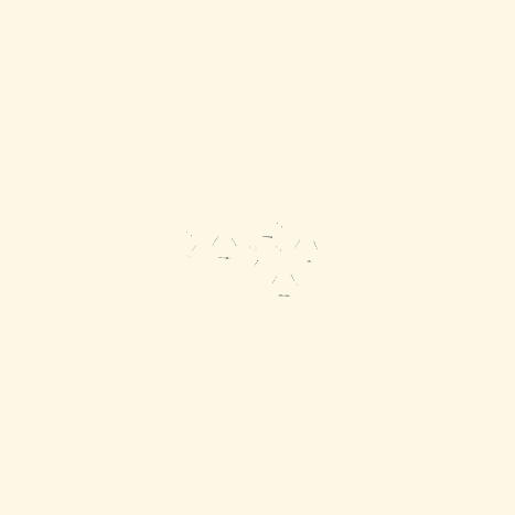 CN1CCN=C1c1ccc(NC(=O)C(c2cccnc2)N(C(N)=O)c2ccc(Cl)cc2)cc1